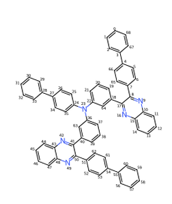 c1ccc(-c2ccc(-c3nc4ccccc4nc3-c3cccc(N(c4ccc(-c5ccccc5)cc4)c4cccc(-c5nc6ccccc6nc5-c5ccc(-c6ccccc6)cc5)c4)c3)cc2)cc1